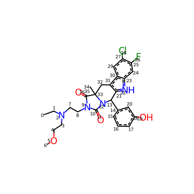 CCN(CCOC)CCN1C(=O)N2C(c3cccc(O)c3)c3[nH]c4cc(F)c(Cl)cc4c3CC2(C)C1=O